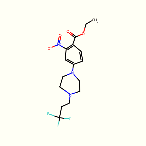 CCOC(=O)c1ccc(N2CCN(CCC(F)(F)F)CC2)cc1[N+](=O)[O-]